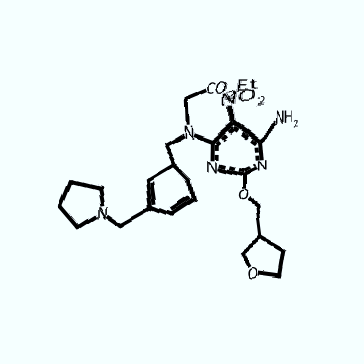 CCOC(=O)CN(CC1C=C(CN2CCCC2)C=CC1)c1nc(OCC2CCOC2)nc(N)c1[N+](=O)[O-]